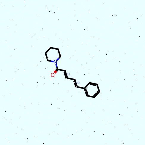 O=C(/C=C/C=C/c1ccccc1)N1CCCCC1